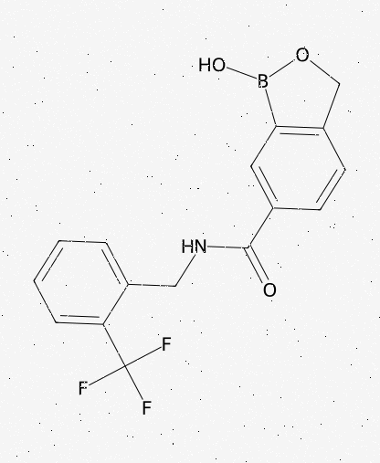 O=C(NCc1ccccc1C(F)(F)F)c1ccc2c(c1)B(O)OC2